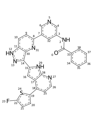 O=C(Nc1cncc(-c2ccc3[nH]nc(-c4cc5c(-c6ccc(F)s6)ccnc5[nH]4)c3n2)c1)c1ccccc1